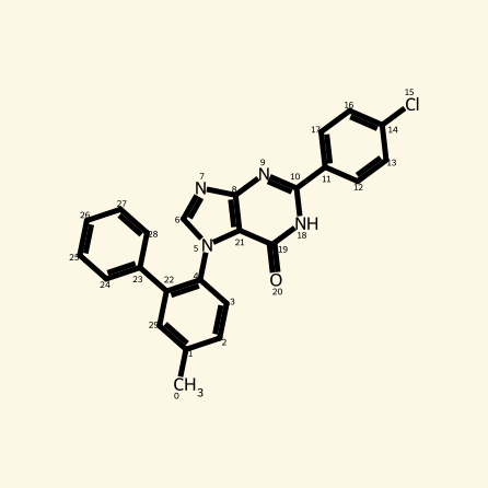 Cc1ccc(-n2cnc3nc(-c4ccc(Cl)cc4)[nH]c(=O)c32)c(-c2ccccc2)c1